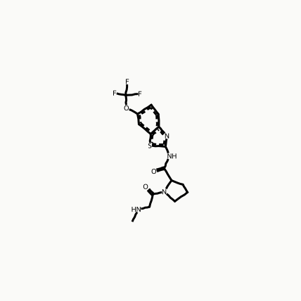 CNCC(=O)N1CCCC1C(=O)Nc1nc2ccc(OC(F)(F)F)cc2s1